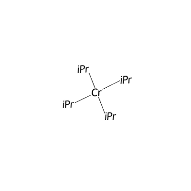 C[CH](C)[Cr]([CH](C)C)([CH](C)C)[CH](C)C